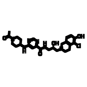 CC(=O)N1CCC(Nc2cc(C(=O)NC[C@H](O)CN3CCc4c(ccc(O)c4Cl)C3)ncn2)CC1